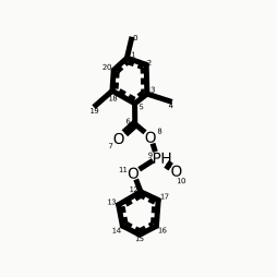 Cc1cc(C)c(C(=O)O[PH](=O)Oc2ccccc2)c(C)c1